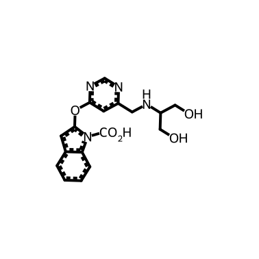 O=C(O)n1c(Oc2cc(CNC(CO)CO)ncn2)cc2ccccc21